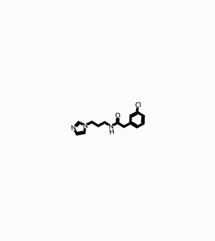 O=C(Cc1cccc(Cl)c1)NCCCn1ccnc1